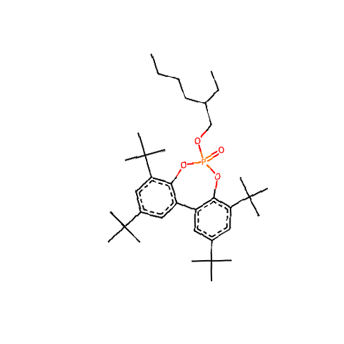 CCCCC(CC)COP1(=O)Oc2c(cc(C(C)(C)C)cc2C(C)(C)C)-c2cc(C(C)(C)C)cc(C(C)(C)C)c2O1